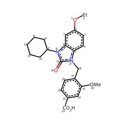 CCOc1ccc2c(c1)n(C1CCCCC1)c(=O)n2Cc1ccc(C(=O)O)cc1OC